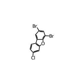 Clc1ccc2c(c1)oc1c(Br)cc(Br)cc12